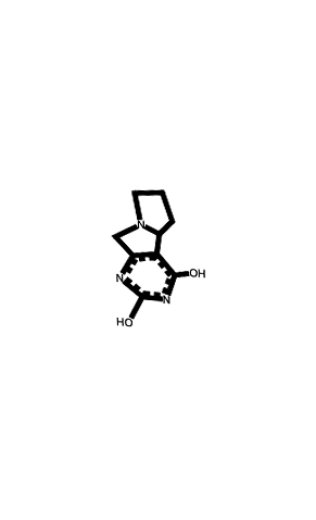 Oc1nc(O)c2c(n1)CN1CCCC21